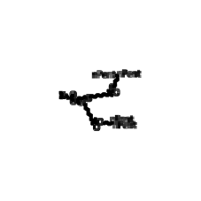 CCCCCC(CCCCC)CCCOC(=O)C(C)(C)CCCCCCOCC1C[C@@H](OC(=O)CCN(C)C)CN1CCCCCCC(C)(C)C(=O)OCCCC(CCCCC)CCCCC